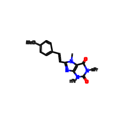 CCCn1c(=O)c2c(nc(C=Cc3ccc(OC)cc3)n2C)n(CCC)c1=O